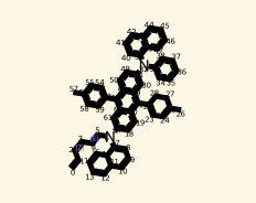 C=C/C=C\C=C\N(C1=CC=CC2C=CC=CC12)c1ccc2c(C3=CC=C(C)CC3)c3cc(N(c4ccccc4)c4cccc5ccccc45)ccc3c(-c3ccc(C)cc3)c2c1